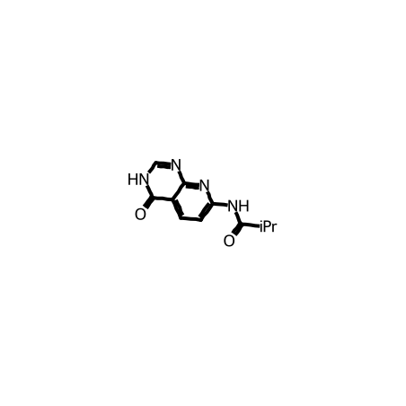 CC(C)C(=O)Nc1ccc2c(=O)[nH]cnc2n1